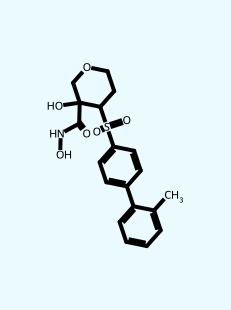 Cc1ccccc1-c1ccc(S(=O)(=O)C2CCOCC2(O)C(=O)NO)cc1